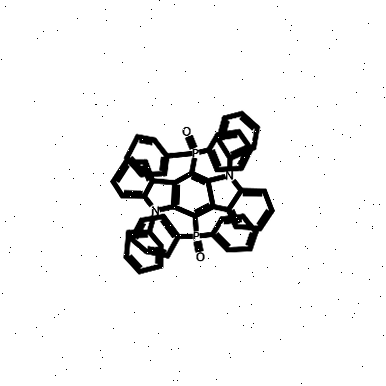 O=P(c1ccccc1)(c1ccccc1)c1c2c3ccccc3n(-c3ccccc3)c2c(P(=O)(c2ccccc2)c2ccccc2)c2c3ccccc3n(-c3ccccc3)c12